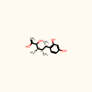 C=C(O)C(O)[C@H](C)[C@@H](C)[C@H](C)c1ccc(O)cc1O